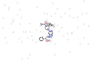 CC1(C)CN(c2cc(NCC(O)c3ccccc3)ncn2)CCN1C(=O)C1CC1